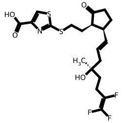 C[C@](O)(C/C=C/[C@@H]1CCC(=O)[C@@H]1CCSc1nc(C(=O)O)cs1)CCC(F)=C(F)F